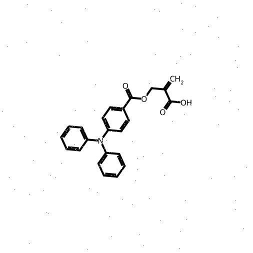 C=C(COC(=O)c1ccc(N(c2ccccc2)c2ccccc2)cc1)C(=O)O